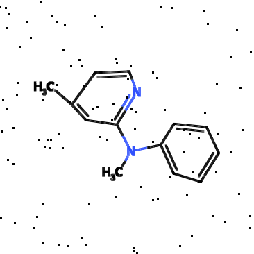 Cc1ccnc(N(C)c2ccccc2)c1